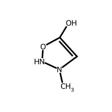 CN1C=C(O)ON1